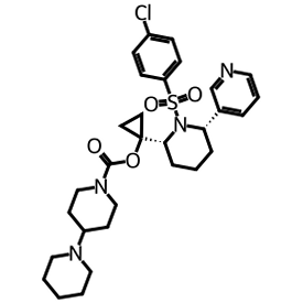 O=C(OC1([C@H]2CCC[C@@H](c3cccnc3)N2S(=O)(=O)c2ccc(Cl)cc2)CC1)N1CCC(N2CCCCC2)CC1